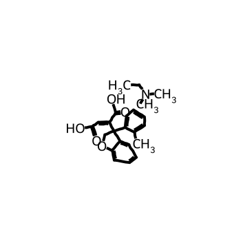 CCN(C)C.Cc1ccccc1C1(/C(=C\C(=O)O)C(=O)O)COc2ccccc21